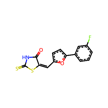 O=C1NC(=S)S/C1=C/c1ccc(-c2cccc(F)c2)o1